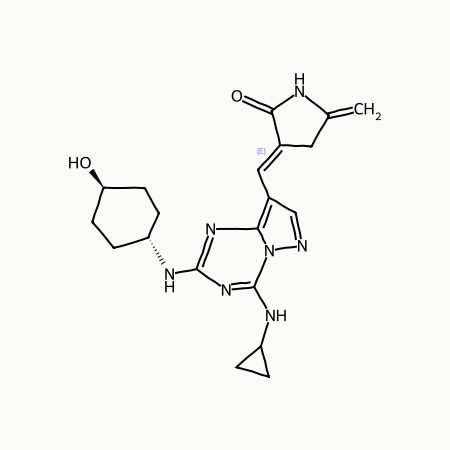 C=C1C/C(=C\c2cnn3c(NC4CC4)nc(N[C@H]4CC[C@H](O)CC4)nc23)C(=O)N1